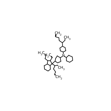 C=CCCC(CC)C1CCC(N(C2CCCCC2)C2CCC(C3(C(CC)CCC=C)C(C=C)C(CCC)C4CCCCC43)CC2)CC1